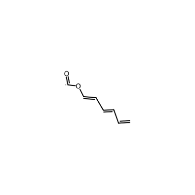 C=CC=CC=CO[C]=O